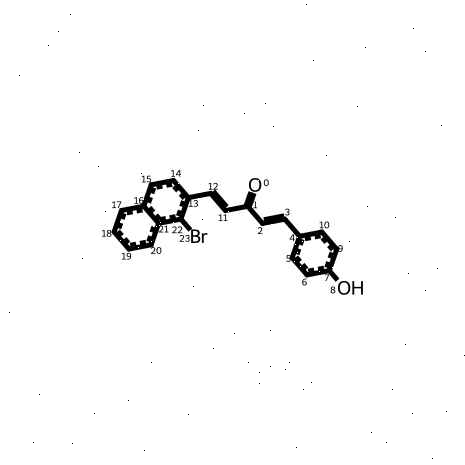 O=C(C=Cc1ccc(O)cc1)C=Cc1ccc2ccccc2c1Br